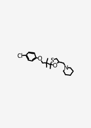 CC(C)(COc1ccc(Cl)cc1)C1(C)OC(CN2CCCCC2)CS1